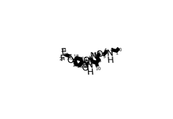 CCCNCCOc1cc(C)c(NS(=O)(=O)c2ccc(OCC(F)F)cc2)cn1